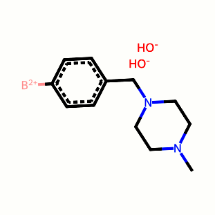 [B+2]c1ccc(CN2CCN(C)CC2)cc1.[OH-].[OH-]